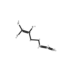 [N-]=[N+]=NCCC(F)=C(F)F